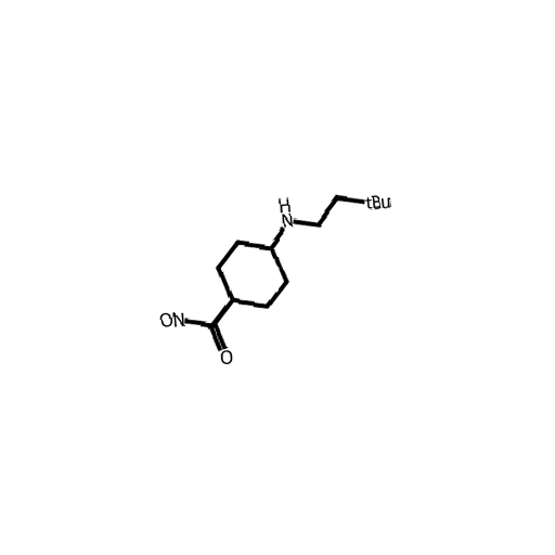 CC(C)(C)CCNC1CCC(C(=O)N=O)CC1